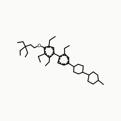 CCc1cc(C2CCC(C3CCC(C)CC3)CC2)ccc1-c1cc(CC)c(OCCC(CC)(CC)CC)c(CC)c1CC